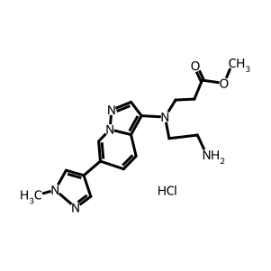 COC(=O)CCN(CCN)c1cnn2cc(-c3cnn(C)c3)ccc12.Cl